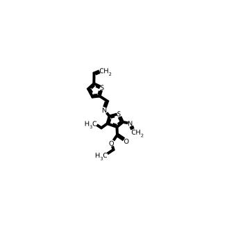 C=Cc1ccc(/C=N/c2sc(N=C)c(C(=O)OCC)c2CC)s1